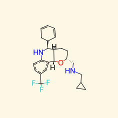 FC(F)(F)c1ccc2c(c1)[C@H]1O[C@@H](CNCC3CC3)CC[C@H]1[C@H](C1C=CC=CC1)N2